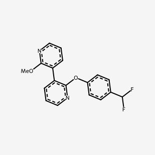 COc1ncccc1-c1cccnc1Oc1ccc(C(F)F)cc1